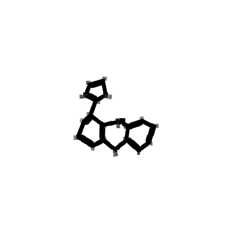 c1ccc2c(c1)Nc1c(cccc1-c1ncco1)S2